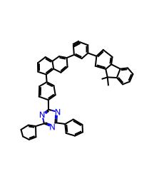 CC1(C)c2ccccc2-c2ccc(-c3cc#cc(-c4ccc5c(-c6ccc(-c7nc(C8=CCCC=C8)nc(-c8ccccc8)n7)cc6)cccc5c4)c3)cc21